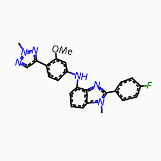 COc1cc(Nc2cccc3c2nc(-c2ccc(F)cc2)n3C)ccc1-c1cnn(C)n1